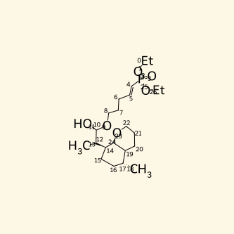 CCOP(=O)(/C=C/CCCOC(O)C(C)[C@@H]1CC[C@@H](C)C2CCCOC21)OCC